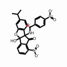 CC(C)c1ccc2c(c1)OC1(O)c3cccc([N+](=O)[O-])c3C(=O)C21NC(=O)c1ccc([N+](=O)[O-])cc1